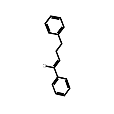 ClC(=CCCc1ccccc1)c1ccccc1